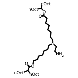 CCCCCCCCC(CCCCCCCC)OC(=O)CCCCCCCN(CCN)CCCCCCCOC(=O)C(CCCCCCCC)CCCCCCCC